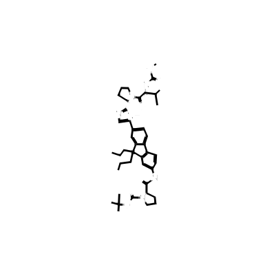 CCCC1(CCC)c2cc(NC(=O)C3CCCN3C(=O)OC(C)(C)C)ccc2-c2ccc(-c3cnc([C@@H]4CCCN4C(=O)[C@@H](NC(=O)OC)C(C)C)[nH]3)cc21